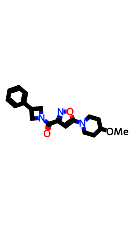 COC1CCN(c2cc(C(=O)N3CC(c4ccccc4)C3)no2)CC1